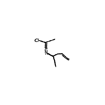 C=CC(C)/N=C(\C)Cl